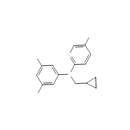 CC(C)(C)c1cc(N(CC2CC2)c2ccc(C(=O)O)cn2)cc(C(C)(C)C)c1